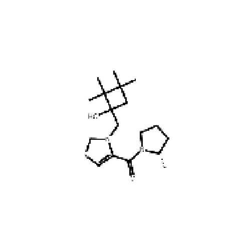 C[C@H]1CCCN1C(=O)C1=CSCN1CC1(O)CC(C)(C)C1(C)C